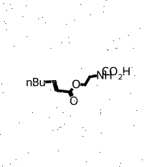 CCCCC=CC(=O)OCCNC(=O)O